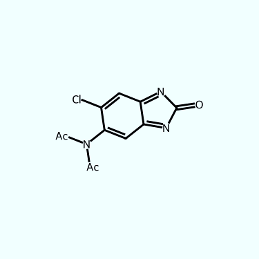 CC(=O)N(C(C)=O)c1cc2c(cc1Cl)=NC(=O)N=2